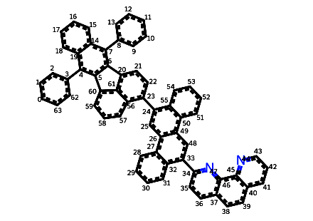 c1ccc(-c2c3c(c(-c4ccccc4)c4ccccc24)-c2ccc(-c4cc5c6ccccc6c(-c6ccc7ccc8cccnc8c7n6)cc5c5ccccc45)c4cccc-3c24)cc1